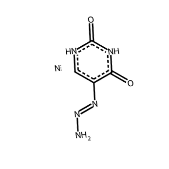 NN=Nc1c[nH]c(=O)[nH]c1=O.[N]